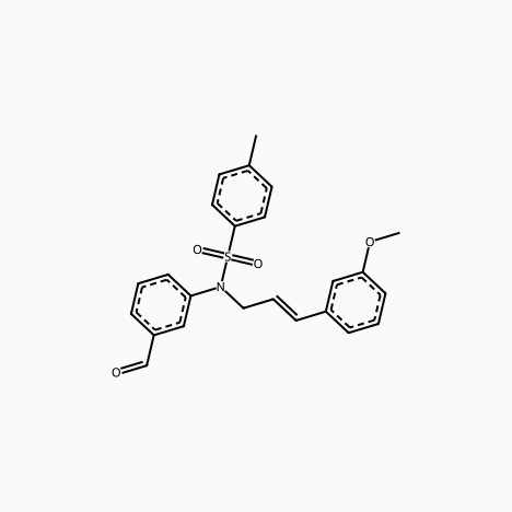 COc1cccc(C=CCN(c2cccc(C=O)c2)S(=O)(=O)c2ccc(C)cc2)c1